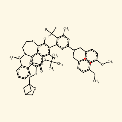 COc1ccc(CN(Cc2ccc(OC)cc2)c2cc(C)c(C(F)(F)F)c(-c3c(Cl)c4c5c(nc(OCC67CC(CO6)C7)nc5c3F)N([C@H](C)c3cccnc3NC(=O)OC(C)(C)C)CCO4)n2)cc1